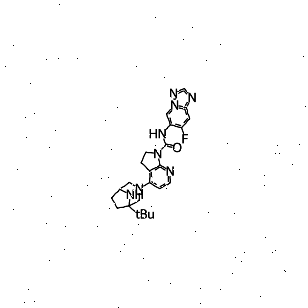 CC(C)(C)C12CCC(CN(c3ccnc4c3CCN4C(=O)Nc3cn4ncnc4cc3F)C1)N2